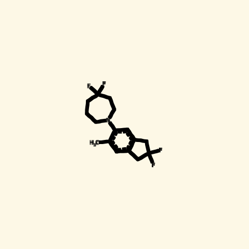 Cc1cc2c(cc1N1CCCC(F)(F)CC1)CC(F)(F)C2